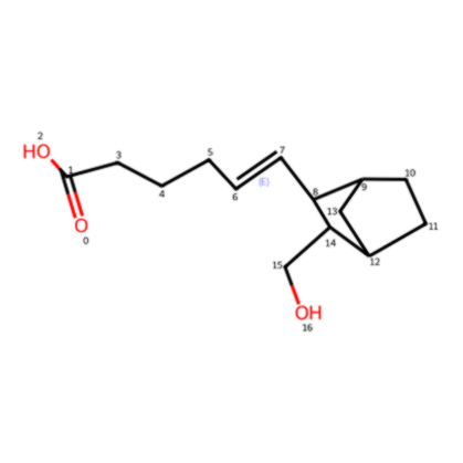 O=C(O)CCC/C=C/C1C2CCC(C2)C1CO